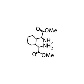 COC(=O)C(N)C1CCCCC1C(N)C(=O)OC